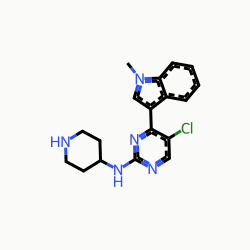 Cn1cc(-c2nc(NC3CCNCC3)ncc2Cl)c2ccccc21